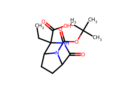 CCC1(C(=O)O)NC(=O)C2CCC1N2C(=O)OC(C)(C)C